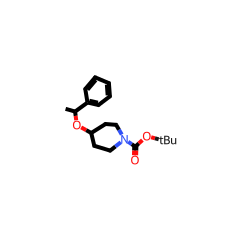 CC(OC1CCN(C(=O)OC(C)(C)C)CC1)c1ccccc1